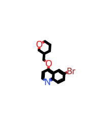 Brc1ccc2nccc(OCC3CCCOC3)c2c1